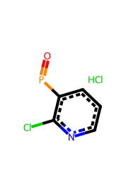 Cl.O=Pc1cccnc1Cl